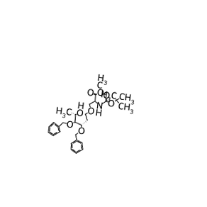 COC(=O)C(COCC[C@H](OCc1ccccc1)[C@@H](OCc1ccccc1)[C@H](C)O)NC(=O)OC(C)(C)C